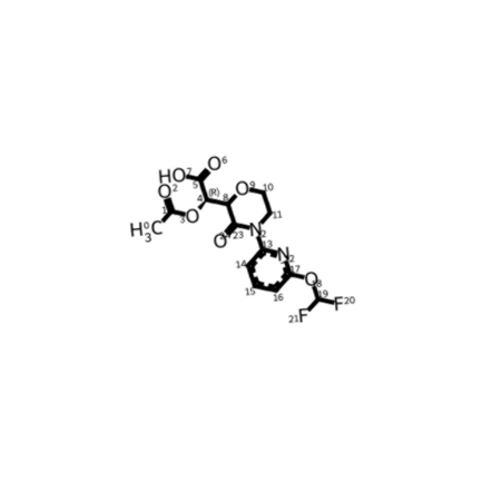 CC(=O)O[C@@H](C(=O)O)C1OCCN(c2cccc(OC(F)F)n2)C1=O